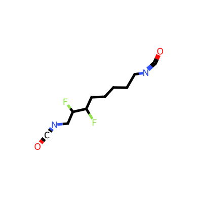 O=C=NCCCCCC(F)C(F)CN=C=O